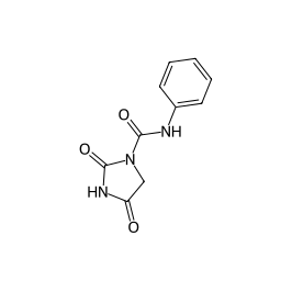 O=C1CN(C(=O)Nc2ccccc2)C(=O)N1